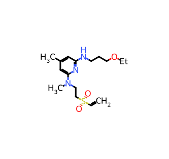 C=CS(=O)(=O)CCN(C)c1cc(C)cc(NCCCOCC)n1